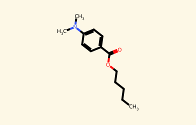 CCCCCOC(=O)c1ccc(N(C)C)cc1